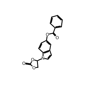 O=C1OCC(n2ccc3cc(OC(=O)c4ccccc4)ccc32)O1